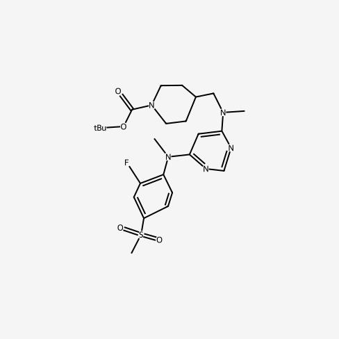 CN(CC1CCN(C(=O)OC(C)(C)C)CC1)c1cc(N(C)c2ccc(S(C)(=O)=O)cc2F)ncn1